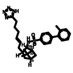 Cc1ccccc1-c1ccc(S(=O)(=O)N[C@@H]2[C@@H](CC=CCCCc3nnn[nH]3)C[C@H]3C[C@H]2C3(C)C)cc1